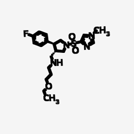 CCOCCCNC[C@H]1CN(S(=O)(=O)c2cn(C)cn2)C[C@@H]1c1ccc(F)cc1